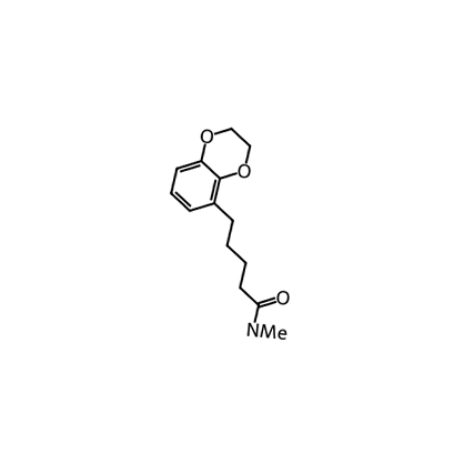 CNC(=O)CCCCc1cccc2c1OCCO2